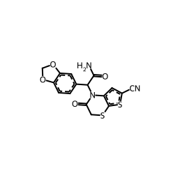 N#Cc1cc2c(s1)SCC(=O)N2C(C(N)=O)c1ccc2c(c1)OCO2